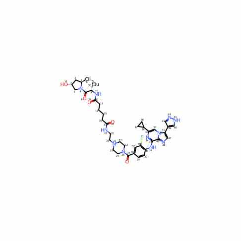 C[C@@H]1C[C@@H](O)CN1C(=O)[C@@H](NC(=O)CCCCC(=O)NCCN1CCN(C(=O)c2ccc(Nc3nc(C4CC4)cn4c(-c5cn[nH]c5)cnc34)c(F)c2)CC1)C(C)(C)C